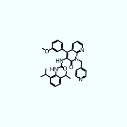 COc1cccc(-c2c(NC(=O)Nc3c(C(C)C)cccc3C(C)C)c(=O)n(Cc3ccncc3)c3ncccc23)c1